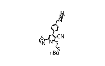 CCCCSCSc1nc(-c2nccs2)cc(-c2ccc(CN=[N+]=[N-])cc2)c1C#N